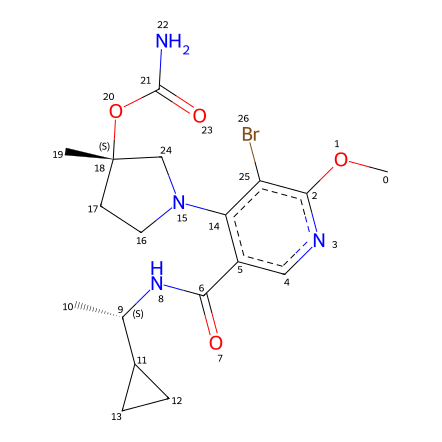 COc1ncc(C(=O)N[C@@H](C)C2CC2)c(N2CC[C@](C)(OC(N)=O)C2)c1Br